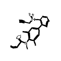 C#CCN(CC)c1[c]cccc1-c1cc(C)c(N(C)C(Cl)C=C)c(C)c1